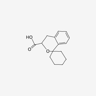 O=C(O)C1Cc2ccccc2C2(CCCCC2)O1